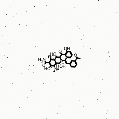 CC(=O)c1cccc(/C=C2\c3cccc(O)c3C(=O)C3=C(O)[C@]4(O)C(=O)C(C(N)=O)=C(O)[C@H](N(C)C)[C@H]4[C@@H](O)[C@H]32)c1